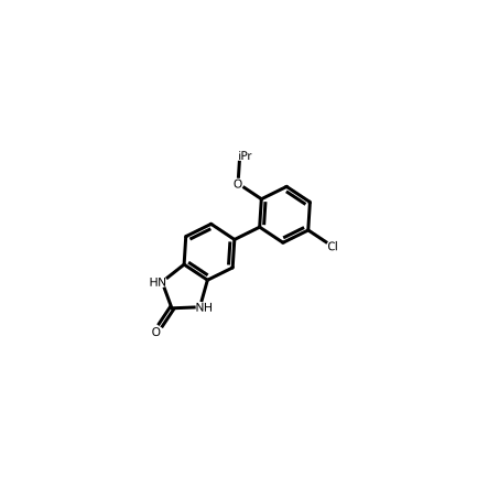 CC(C)Oc1ccc(Cl)cc1-c1ccc2[nH]c(=O)[nH]c2c1